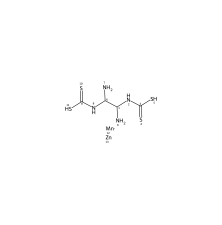 NC(NC(=S)S)C(N)NC(=S)S.[Mn].[Zn]